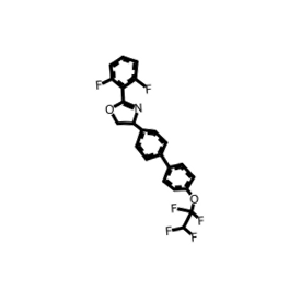 Fc1cccc(F)c1C1=NC(c2ccc(-c3ccc(OC(F)(F)C(F)F)cc3)cc2)CO1